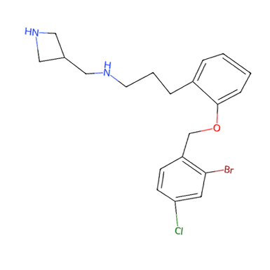 Clc1ccc(COc2ccccc2CCCNCC2CNC2)c(Br)c1